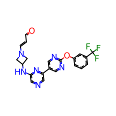 O=CC=CN1CC(Nc2cncc(-c3cnc(Oc4cccc(C(F)(F)F)c4)nc3)n2)C1